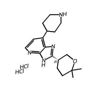 CC1(C)CC[C@H](c2nc3c(C4CCNCC4)ccnc3[nH]2)CO1.Cl.Cl